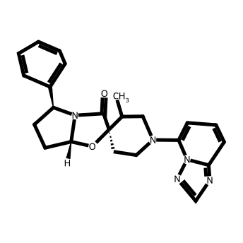 CC1CN(c2cccc3ncnn23)CC[C@@]12O[C@@H]1CC[C@@H](c3ccccc3)N1C2=O